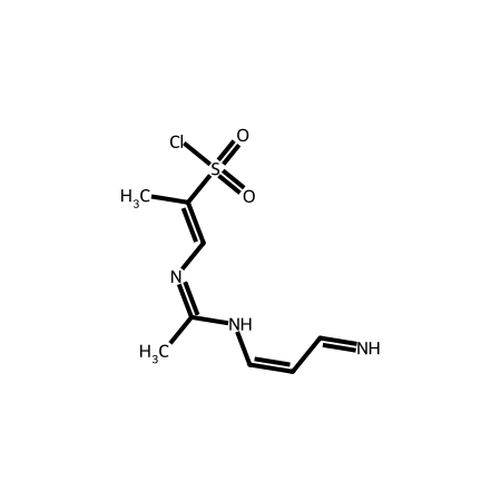 C/C(=N/C=C(\C)S(=O)(=O)Cl)N/C=C\C=N